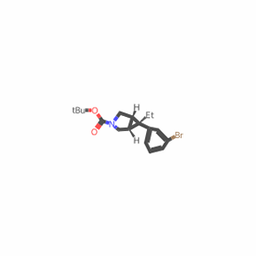 CC[C@@]1(c2cccc(Br)c2)[C@@H]2CN(C(=O)OC(C)(C)C)C[C@@H]21